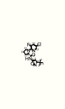 CC(C)(C)c1cc(NC(=O)[C@@H]2CCCN2c2ncc(Cl)cc2F)on1